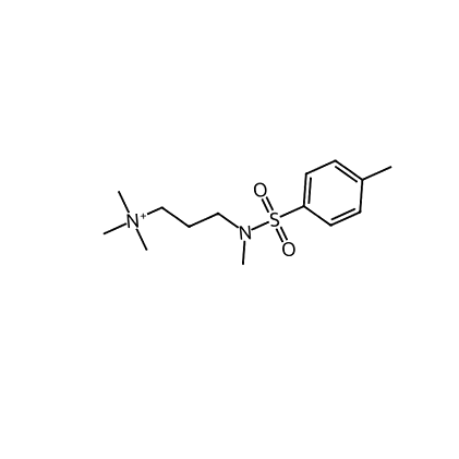 Cc1ccc(S(=O)(=O)N(C)CCC[N+](C)(C)C)cc1